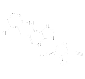 C#C[C@H]1O[C@@H](n2cnc3c(Nc4cccc(Cl)c4C)ncnc32)[C@H](OC(C)=O)[C@@H]1OC(C)=O